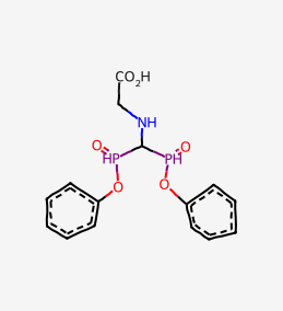 O=C(O)CNC([PH](=O)Oc1ccccc1)[PH](=O)Oc1ccccc1